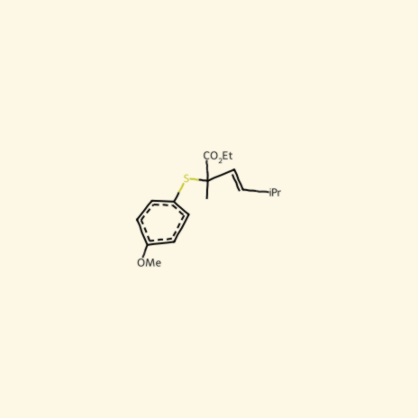 CCOC(=O)C(C)(C=CC(C)C)Sc1ccc(OC)cc1